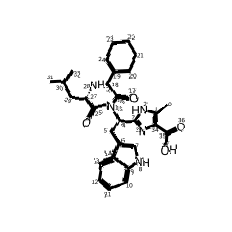 Cc1[nH]c([C@@H](Cc2c[nH]c3ccccc23)N(C(=O)CC2CCCCC2)C(=O)[C@@H](N)CC(C)C)nc1C(=O)O